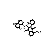 CCOC(=O)c1cccc2c(Cl)c([C@H](C)Nc3ncnc4[nH]ccc(=O)c34)n(-c3ccccc3)c(=O)c12